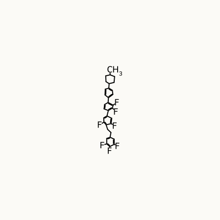 CC1CCC(c2ccc(-c3ccc(-c4cc(F)c(CCc5cc(F)c(F)c(F)c5)c(F)c4)c(F)c3F)cc2)CC1